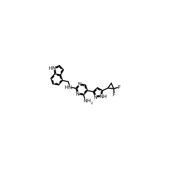 Nc1nc(NCc2cccc3[nH]ccc23)ncc1-c1cc(C2CC2(F)F)[nH]n1